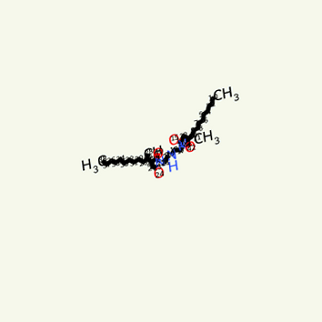 CCCCCCCCCCC(C)C1CC(=O)N(CCNCCN2C(=O)CC(C(C)CCCCCCCCCC)C2=O)C1=O